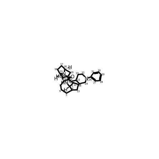 O=C(N[C@H]1C2CCC[C@@H](O)CC1CC2)N1[C@@H]2CC[C@H]1C[C@@H](OC1CCN(c3ccccc3)CC1)C2